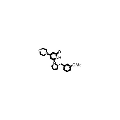 COc1cccc(C[C@@H]2CCCN2c2cc(N3CCOCC3)cc(=O)[nH]2)c1